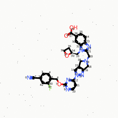 N#Cc1ccc(COc2nccc(-n3cc4c(n3)CN(Cc3nc5ccc(C(=O)O)cc5n3C[C@@H]3CCO3)C4)n2)c(F)c1